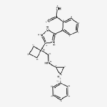 O=C(O)c1ccccc1-c1nc(C2(CNC3C[C@@H]3c3ccccc3)CCC2)no1